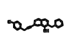 Oc1c(Cc2ccccc2)ccc2ccc(C#CCc3ccc(Cl)cc3)cc12